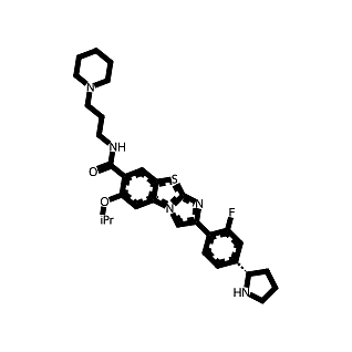 CC(C)Oc1cc2c(cc1C(=O)NCCCN1CCCCC1)sc1nc(-c3ccc([C@@H]4CCCN4)cc3F)cn12